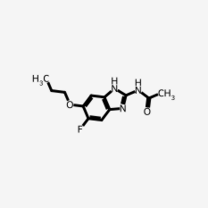 CCCOc1cc2[nH]c(NC(C)=O)nc2cc1F